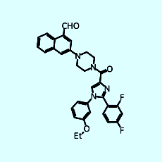 CCOc1cccc(-n2cc(C(=O)N3CCN(c4cc(C=O)c5ccccc5c4)CC3)nc2-c2ccc(F)cc2F)c1